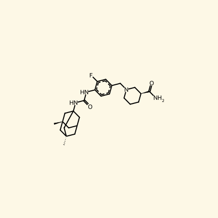 C[C@]12CC3CC(NC(=O)Nc4ccc(CN5CCC[C@H](C(N)=O)C5)cc4F)(C1)C[C@@](C)(C3)C2